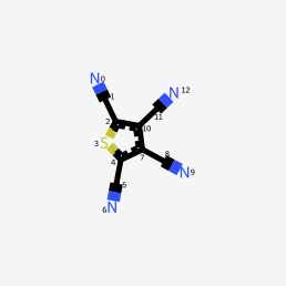 N#Cc1sc(C#N)c(C#N)c1C#N